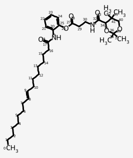 CCCCCCCCC=CCCCCCCCC(=O)Nc1ccccc1OC(=O)CCNC(=O)C1OC(C)(C)OCC1(C)C